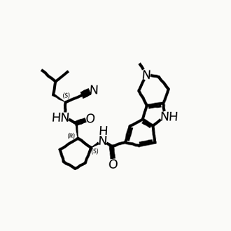 CC(C)C[C@@H](C#N)NC(=O)[C@@H]1CCCC[C@@H]1NC(=O)c1ccc2[nH]c3c(c2c1)CN(C)CC3